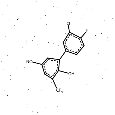 N#Cc1cc(-c2ccc(F)c(Cl)c2)c(O)c(C(F)(F)F)c1